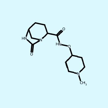 CN1CCC(ONC(=O)C2CCC3CN2C(=O)N3)CC1